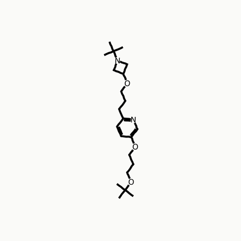 CC(C)(C)OCCCOc1ccc(CCCOC2CN(C(C)(C)C)C2)nc1